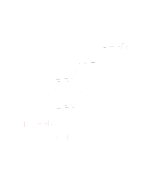 CC(C)CCCc1ccc(B(O)O)cc1